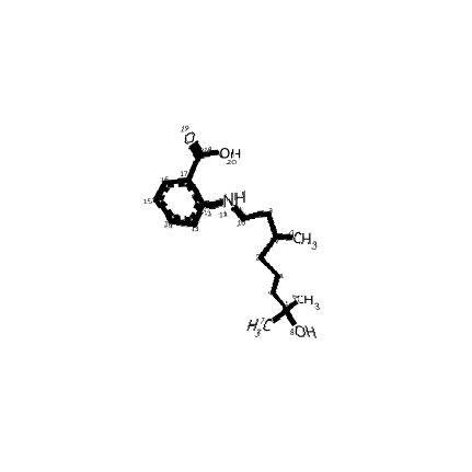 CC(CCCC(C)(C)O)CCNc1ccccc1C(=O)O